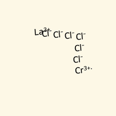 [Cl-].[Cl-].[Cl-].[Cl-].[Cl-].[Cl-].[Cr+3].[La+3]